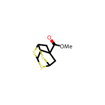 COC(=O)C12CC3SC(C1)SC(C2)S3